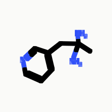 CC(N)(N)Cc1cccnc1